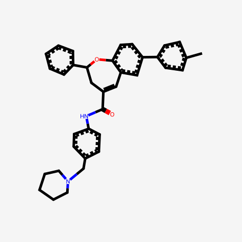 Cc1ccc(-c2ccc3c(c2)C=C(C(=O)Nc2ccc(CN4CCCCC4)cc2)CC(c2ccccc2)O3)cc1